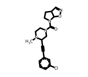 CN1CCN(C(=O)N2CCC3C=NOC32)CC1C#Cc1cccc(Cl)c1